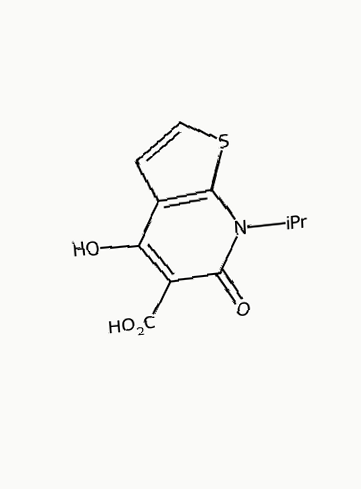 CC(C)n1c(=O)c(C(=O)O)c(O)c2ccsc21